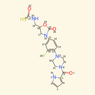 Cn1cccc1C(=O)N1CCN(c2ccc(N3CC(CNC(=O)S)OC3=O)cc2F)CC1